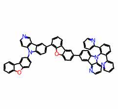 c1ccc(-c2cccc(-c3ccccn3)c2-n2c3ccc(-c4ccc5oc6c(-c7ccc8c(c7)c7cnccc7n8-c7ccc8oc9ccccc9c8c7)cccc6c5c4)cc3c3ncccc32)nc1